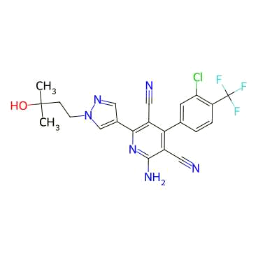 CC(C)(O)CCn1cc(-c2nc(N)c(C#N)c(-c3ccc(C(F)(F)F)c(Cl)c3)c2C#N)cn1